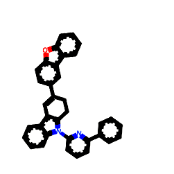 C1=C(c2ccc3oc4ccccc4c3c2)CCc2c1c1ccccc1n2-c1cccc(-c2ccccc2)n1